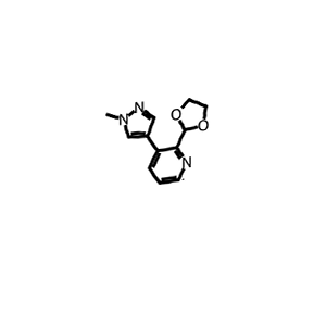 Cn1cc(-c2cc[c]nc2C2OCCO2)cn1